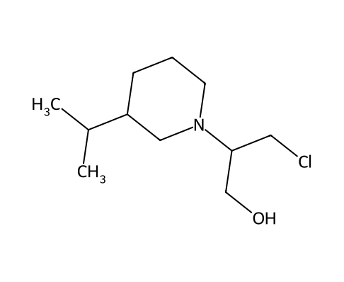 CC(C)C1CCCN(C(CO)CCl)C1